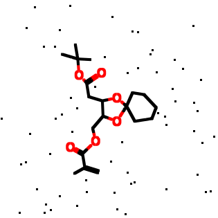 C=C(C)C(=O)OCC1OC2(CCCCC2)OC1CC(=O)OC(C)(C)C